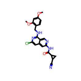 COc1ccc(CNc2nc(Cl)cc3cc(NC(=O)C4CC4C#N)ncc23)c(OC)c1